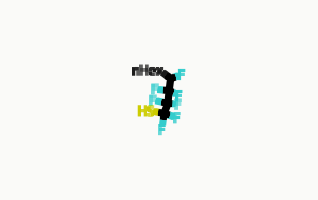 CCCCCCC(F)C(F)(F)C(F)(F)C(F)(F)S